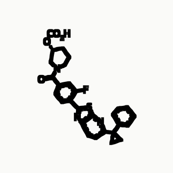 O=C(O)O[C@@H]1CCCN(C(=O)c2ccc(-c3nc4ccc(C5(c6ccccc6)CC5)nc4s3)c(F)c2)C1